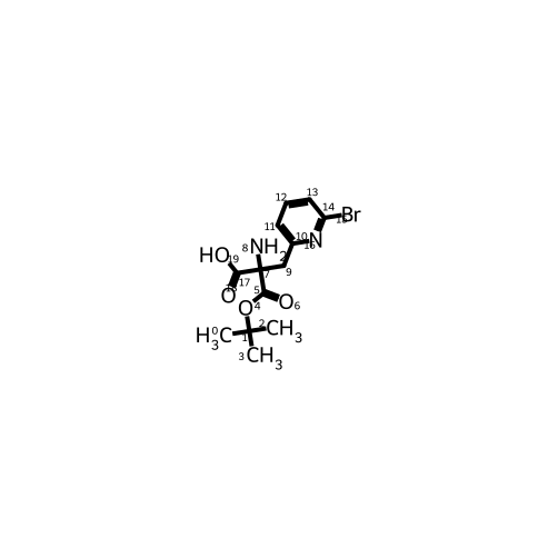 CC(C)(C)OC(=O)C(N)(Cc1cccc(Br)n1)C(=O)O